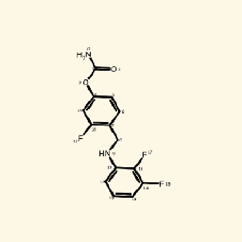 NC(=O)Oc1ccc(CNc2cccc(F)c2F)c(F)c1